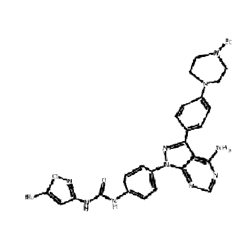 CCN1CCN(c2ccc(-c3nn(-c4ccc(NC(=O)Nc5cc(C(C)(C)C)on5)cc4)c4ncnc(N)c34)cc2)CC1